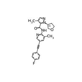 Cc1cc(C#Cc2ccc(F)cc2)cnc1NC(=O)c1c(C)cnn1[C@H]1CCOC1